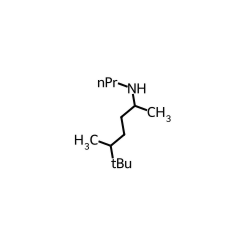 CCCNC(C)CCC(C)C(C)(C)C